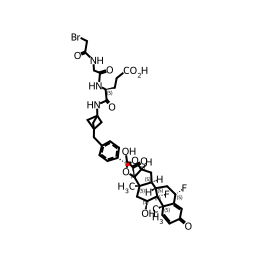 C[C@]12C=CC(=O)C=C1[C@@H](F)C[C@H]1[C@@H]3C[C@H]4O[C@@H](c5ccc(CC67CC(NC(=O)[C@H](CCC(=O)O)NC(=O)CNC(=O)CBr)(C6)C7)cc5)O[C@@]4(C(=O)CO)[C@@]3(C)C[C@H](O)[C@@]12F